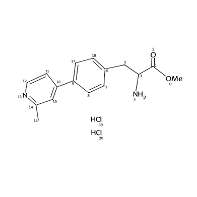 COC(=O)C(N)Cc1ccc(-c2ccnc(C)c2)cc1.Cl.Cl